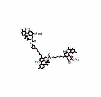 C=C(C)c1ccc(C)cc1-c1c(O)cc(CCCCCCOC(=O)N(Cc2c(CCCCCC3CCC(OC(=O)N(Cc4c(CCCCC)cc(O)c(-c5cc(C)ccc5C(=C)C)c4O)C4CC4)C3)cc(O)c(-c3cc(C)ccc3C(=C)C)c2O)C2CC2)c(CN(CC)C(=O)OC)c1O